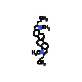 CCCc1cc2ccc3c4ccc5c(ccc6cc(CCC)n(C)c65)c4ccc3c2n1C